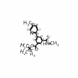 CNC(=S)c1cc(C(=O)OC(C)(C)C)cc(-c2ccc(C)cn2)c1